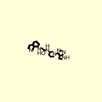 O=C(CNc1cccc2ccncc12)NC1CCCN(c2ncnc3[nH]ccc23)C1